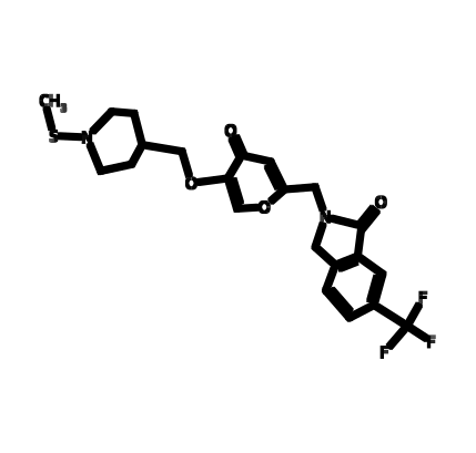 CSN1CCC(COc2coc(CN3Cc4ccc(C(F)(F)F)cc4C3=O)cc2=O)CC1